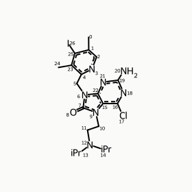 Cc1cnc(Cn2c(=O)n(CCN(C(C)C)C(C)C)c3c(Cl)nc(N)nc32)c(C)c1I